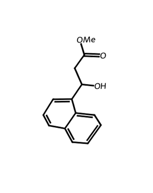 COC(=O)CC(O)c1cccc2ccccc12